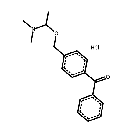 CC(OCc1ccc(C(=O)c2ccccc2)cc1)N(C)C.Cl